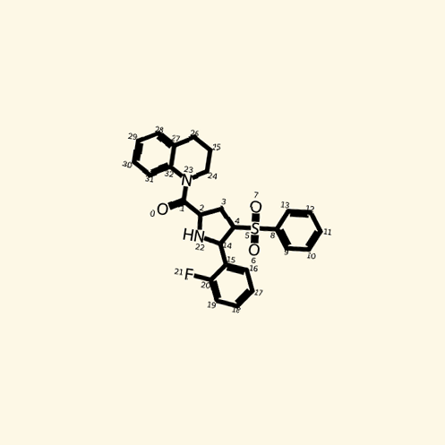 O=C(C1CC(S(=O)(=O)c2ccccc2)C(c2ccccc2F)N1)N1CCCc2ccccc21